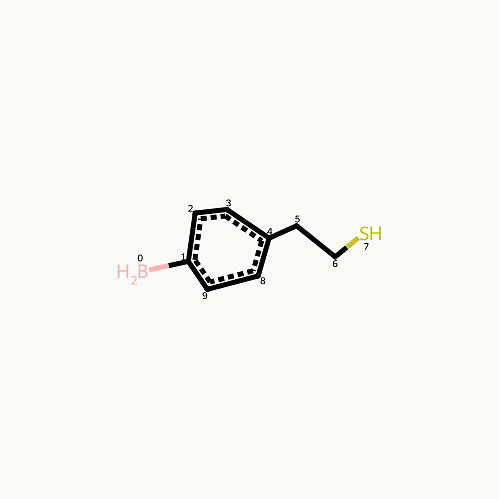 Bc1ccc(CCS)cc1